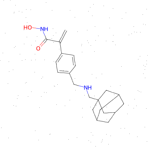 C=C(C(=O)NO)c1ccc(CNCC23CC4CC(CC(C4)C2)C3)cc1